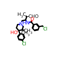 C[C@@H](C=O)C(CN1CC[C@](O)(c2ccc(Cl)cc2)C(C)(C)C1)NC(=O)c1cccc(CCl)c1